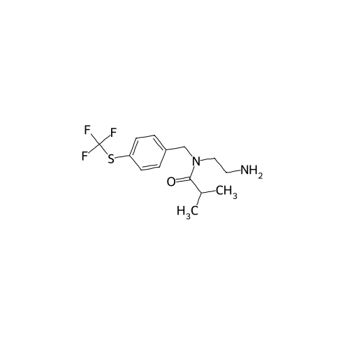 CC(C)C(=O)N(CCN)Cc1ccc(SC(F)(F)F)cc1